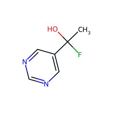 CC(O)(F)c1cncnc1